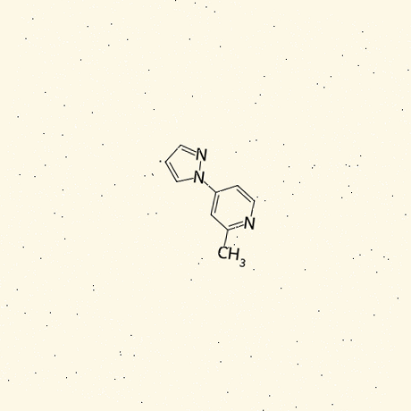 Cc1cc(-n2c[c]cn2)ccn1